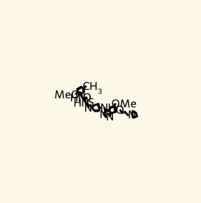 COc1ccc(C)cc1NC(=O)Nc1nc2ccc(Nc3ncnc4cc(OCCCN5CCCC5)c(OC)cc34)cc2s1